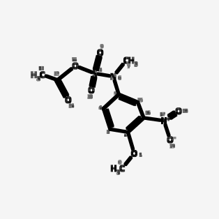 COc1ccc(N(C)S(=O)(=O)OC(C)=O)cc1[N+](=O)[O-]